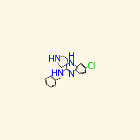 Clc1ccc2c(c1)NC1(CCNCC1)C(NCc1ccccc1)=N2